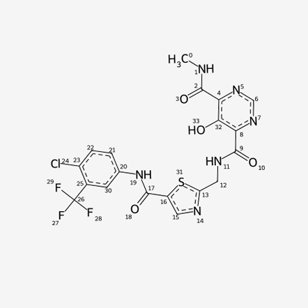 CNC(=O)c1ncnc(C(=O)NCc2ncc(C(=O)Nc3ccc(Cl)c(C(F)(F)F)c3)s2)c1O